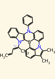 C=C/C=C(\C)n1c2c(c3ccccc31)N(c1ccccc1)c1cccc3c1B2c1cccc2c(C)c(C)n-3c12